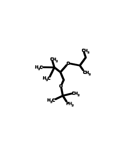 CCC(C)OC(COC(C)(C)P)C(C)(C)C